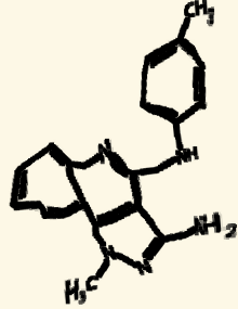 Cc1ccc(Nc2nc3ccccc3c3c2c(N)nn3C)cc1